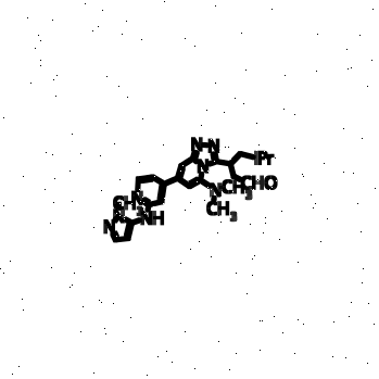 CC(C)CC(CC=O)c1nnc2cc(-c3ccnc(Nc4ccnn4C)c3)cc(N(C)C)n12